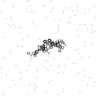 COc1nc(-c2cccc(-c3cccc(-c4cc5c(=O)n(C)c(CNC6CCN(C(C)=O)CC6)nn5c4)c3Cl)c2Cl)ccc1CN(CC1CCC(=O)N1)C(=O)OC(C)(C)C